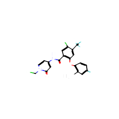 Cc1cc(F)ccc1Oc1cc(C(F)(F)F)c(Cl)cc1C(=O)Nc1ccn(CCl)c(=O)c1